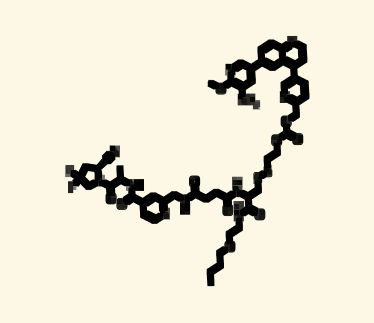 CCCCOCCNC(=O)C(CSSCCOC(=O)OCc1ccc(-c2ccnc3ccc(-c4cnc(OC)c(N)c4)cc23)cn1)NC(=O)CCC(=O)NCc1cc(C(=O)NC(C)C(=O)N2CC(F)(F)C[C@H]2C#N)ccn1